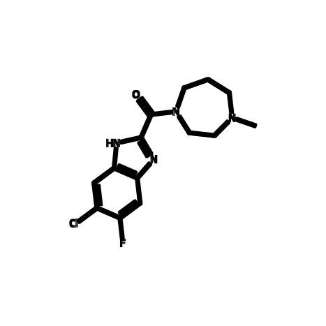 CN1CCCN(C(=O)c2nc3cc(F)c(Cl)cc3[nH]2)CC1